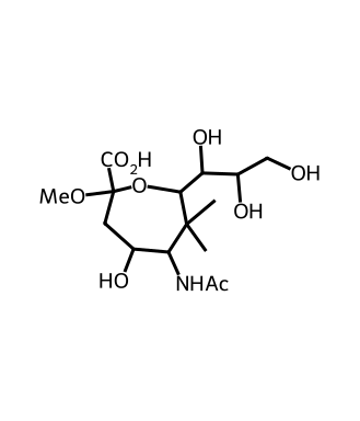 COC1(C(=O)O)CC(O)C(NC(C)=O)C(C)(C)C(C(O)C(O)CO)O1